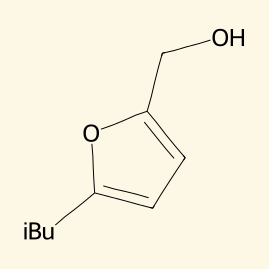 CCC(C)c1ccc(CO)o1